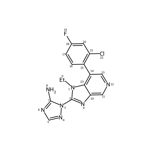 CCn1c(-n2ncnc2N)nc2cncc(-c3ccc(F)cc3Cl)c21